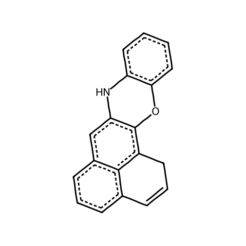 C1=Cc2cccc3cc4c(c(c23)C1)Oc1ccccc1N4